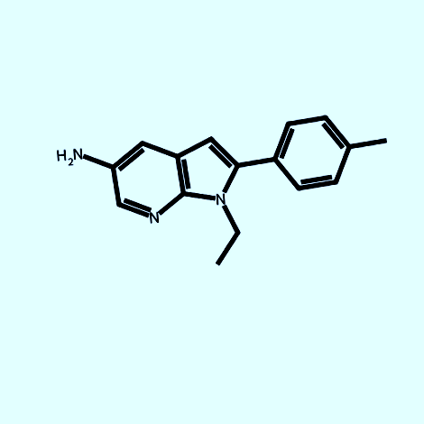 CCn1c(-c2ccc(C)cc2)cc2cc(N)cnc21